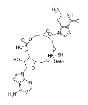 CO[PH]1(S)OCC2OC(n3cnc4c(N)ncnc43)C(O)C2OP(=O)(O)OCC2OC(n3cnc4c(=O)[nH]c(N)nc43)C(O1)C2O